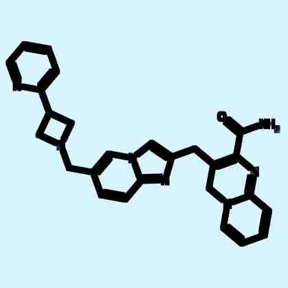 NC(=O)C1=C(Cc2cn3cc(CN4CC(c5ccccn5)C4)ccc3n2)CN2C=CC=CC2=N1